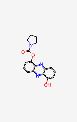 O=C(Oc1cccc2nc3c(O)cccc3nc12)N1CCCC1